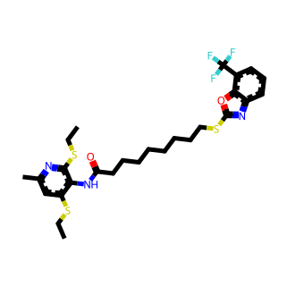 CCSc1cc(C)nc(SCC)c1NC(=O)CCCCCCCCSc1nc2cccc(C(F)(F)F)c2o1